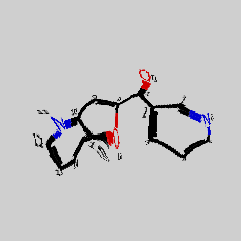 O=C(c1cccnc1)c1cc2ncccc2o1